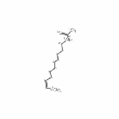 CCCCCCCC/C=C\CCCCCCCCNC(=S)S